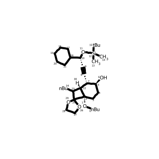 CCCCO[C@@]12CC[C@H](O)[C@@H](C#C[C@@H](O[Si](C)(C)C(C)(C)C)C3CCCCC3)[C@@H]1C(CCCC)C21OCCO1